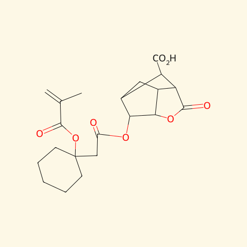 C=C(C)C(=O)OC1(CC(=O)OC2C3CC4C2OC(=O)C4C3C(=O)O)CCCCC1